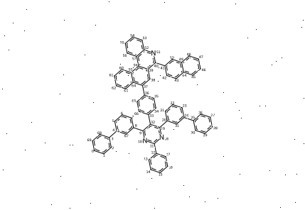 c1ccc(-c2cccc(-c3nc(-c4ccccc4)nc(-c4cccc(-c5ccccc5)c4)c3-c3ccc(-c4cc5c(-c6ccc7ccccc7c6)nc6ccccc6c5c5ccccc45)cc3)c2)cc1